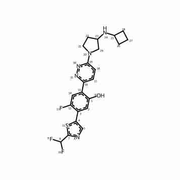 Oc1cc(-c2cnc(C(F)F)s2)c(F)cc1-c1ccc(N2CCC(NC3CCC3)C2)nn1